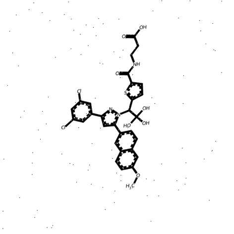 COc1ccc2cc(-c3cc(-c4cc(Cl)cc(Cl)c4)nn3C(c3ccc(C(=O)NCCC(=O)O)s3)C(O)(O)O)ccc2c1